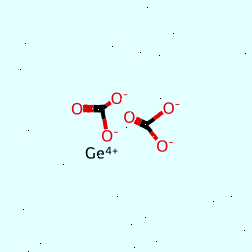 O=C([O-])[O-].O=C([O-])[O-].[Ge+4]